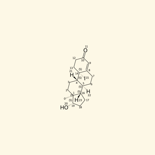 C[C@]12CC[C@H]3[C@@H](CCC4=CC(=O)CC[C@@]43I)[C@@H]1CC[C@@H]2O